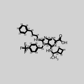 C[C@@H](Nc1nc(C(=O)O)nc2nc(NCCCc3ccccc3)n(Cc3ccc(C(F)(F)F)cc3)c12)C1CCC1